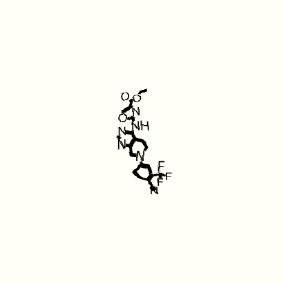 CCOC(=O)c1coc(Nc2ncnc3c2CCN(c2ccc(C#N)c(C(F)(F)F)c2)C3)n1